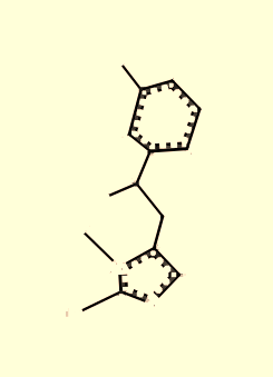 Cc1cccc(C(C)Cc2cnc(C(C)C)n2C)c1